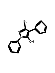 CCc1nn(-c2ccccc2)c(O)c1-c1ccccc1